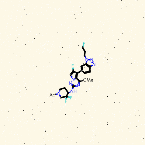 COc1nc(N[C@@H]2CCN(C(C)=O)CC2(F)F)nn2cc(F)c(-c3ccc4nnn(CCCF)c4c3)c12